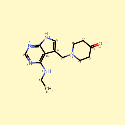 CCNc1ncnc2[nH]cc(CN3CCC(=O)CC3)c12